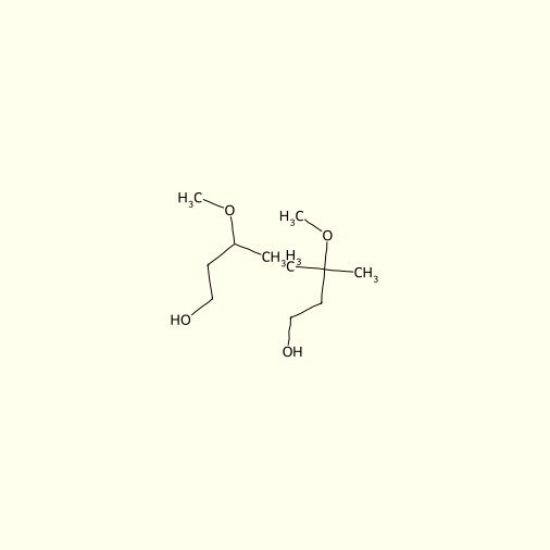 COC(C)(C)CCO.COC(C)CCO